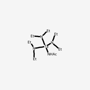 CC[N](CC)[Ta]([NH]C(C)=O)([N](CC)CC)[N](CC)CC